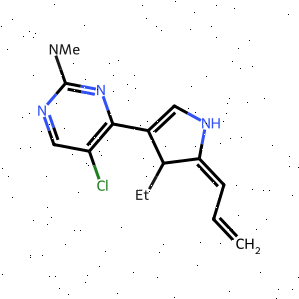 C=C/C=C1/NC=C(c2nc(NC)ncc2Cl)C1CC